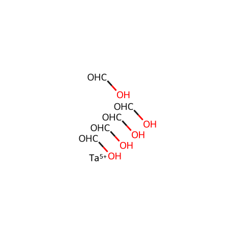 O=[C-]O.O=[C-]O.O=[C-]O.O=[C-]O.O=[C-]O.[Ta+5]